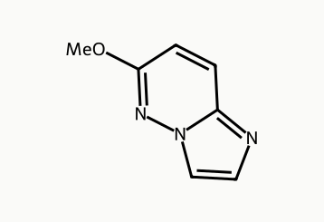 COc1ccc2nccn2n1